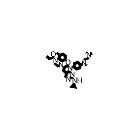 C=CC(=O)N1CCN(c2cc3cnc(NC4CC4)nc3n(-c3ccc(N(C)CCN(C)C)cc3)c2=O)c2cccc(C)c21